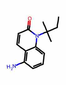 CCC(C)(C)n1c(=O)ccc2c(N)cccc21